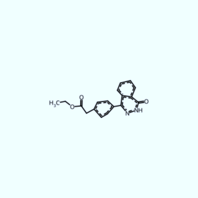 CCOC(=O)Cc1ccc(-c2n[nH]c(=O)c3ccccc23)cc1